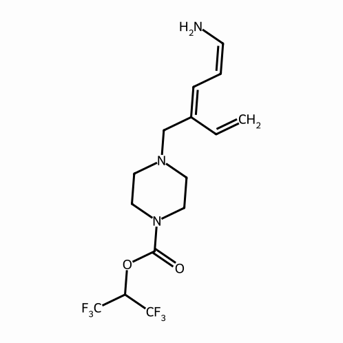 C=C/C(=C\C=C/N)CN1CCN(C(=O)OC(C(F)(F)F)C(F)(F)F)CC1